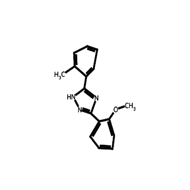 COc1ccccc1-c1n[nH]c(-c2ccccc2C)n1